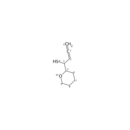 C=C=CC(S)C1CCCCO1